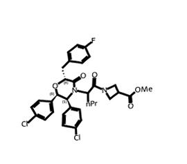 CCCC(C(=O)N1CC(C(=O)OC)C1)N1C(=O)[C@@H](Cc2ccc(F)cc2)O[C@H](c2ccc(Cl)cc2)[C@@H]1c1ccc(Cl)cc1